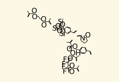 C=C(C)C(=O)O.C=C(C)C(=O)OC(C(F)(F)F)C(F)(F)F.C=C(C)C(=O)OCCOC(=O)C(=C)C.C=CN1CCCC1=O.C=Cc1ccc(COC(=O)C(=C)C)cc1.C=Cc1ccc([Si](O[Si](C)(C)C)(O[Si](C)(C)C)O[Si](C)(C)C)cc1